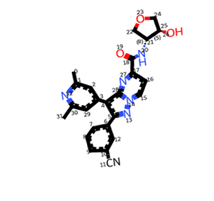 Cc1cc(-c2c(-c3cccc(C#N)c3)nn3ccc(C(=O)N[C@@H]4COC[C@H]4O)nc23)cc(C)n1